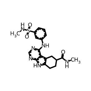 CNC(=O)C1CCc2[nH]c3ncnc(Nc4cccc(S(=O)(=O)NC)c4)c3c2C1